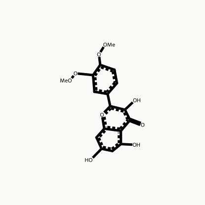 COOc1ccc(-c2oc3cc(O)cc(O)c3c(=O)c2O)cc1OOC